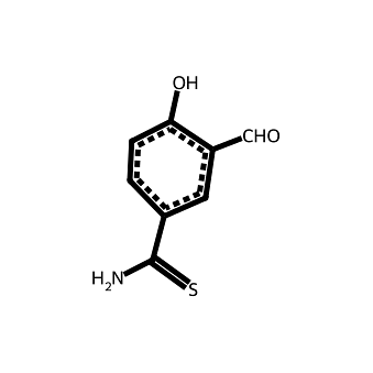 NC(=S)c1ccc(O)c(C=O)c1